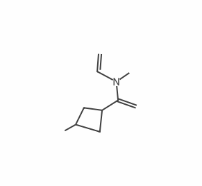 C=CN(C)C(=C)C1CC(C)C1